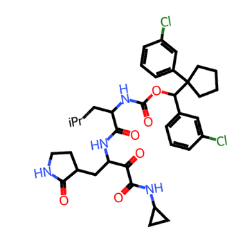 CC(C)CC(NC(=O)OC(c1cccc(Cl)c1)C1(c2cccc(Cl)c2)CCCC1)C(=O)NC(CC1CCNC1=O)C(=O)C(=O)NC1CC1